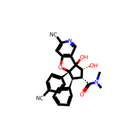 CN(C)C(=O)[C@H]1[C@@H](O)C2(O)c3cnc(C#N)cc3O[C@@]2(c2ccc(C#N)cc2)[C@@H]1c1ccccc1